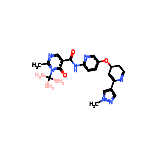 BC(B)(B)n1c(C)ncc(C(=O)Nc2ccc(OC3C=C(c4cnn(C)c4)N=CC3)cn2)c1=O